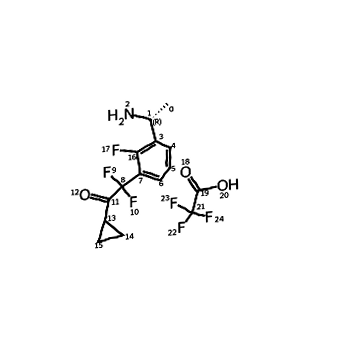 C[C@@H](N)c1cccc(C(F)(F)C(=O)C2CC2)c1F.O=C(O)C(F)(F)F